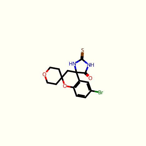 O=C1NC(=S)NC12CC1(CCOCC1)Oc1ccc(Br)cc12